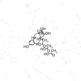 CC(=O)O.CC(=O)O.CC(=O)O.C[C@]12CC[C@@H]3c4ccc(O)cc4CC[C@H]3[C@@H]1C[C@@H](O)[C@@H]2O